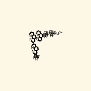 F[P-](F)(F)(F)(F)F.F[P-](F)(F)(F)(F)F.F[P-](F)(F)(F)(F)F.[Ru+3].c1cnc2c(c1)ccc1cccnc12.c1cnc2c(c1)ccc1cccnc12.c1cnc2c(c1)ccc1cccnc12